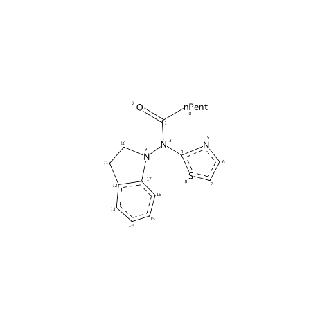 CCCCCC(=O)N(c1nccs1)N1CCc2ccccc21